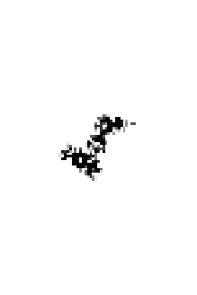 C[S+]([O-])c1ccc2c(c1)N(c1ncc(-c3cc(C(C)(C)O)ccn3)cn1)CC21COC1